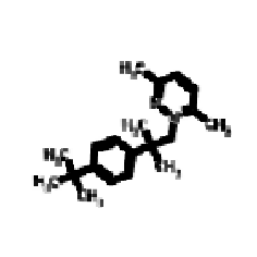 Cc1ccc(C)[n+](CC(C)(C)c2ccc(C(C)(C)C)cc2)n1